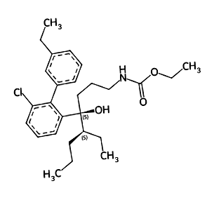 CCC[C@H](CC)[C@@](O)(CCCNC(=O)OCC)c1cccc(Cl)c1-c1cccc(CC)c1